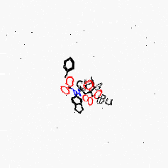 C[C@@H](C(=O)C1(C(=O)OC(C)(C)C)CO1)N(C(=O)OCc1ccccc1)c1ccc2c(c1)CCC2